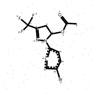 CC(=O)OC1CC(C(F)(F)F)=NN1c1ccc(Br)cc1